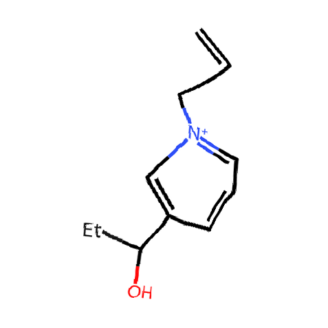 C=CC[n+]1cccc(C(O)CC)c1